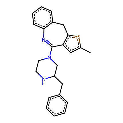 Cc1cc2c(s1)Cc1ccccc1N=C2N1CCNC(Cc2ccccc2)C1